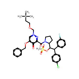 C[Si](C)(C)CCOCn1cc(OCc2ccccc2)c(=O)c(C(=O)N2CCCC2C(OS(C)(=O)=O)C(c2ccc(Cl)cc2)c2cccc(F)c2)n1